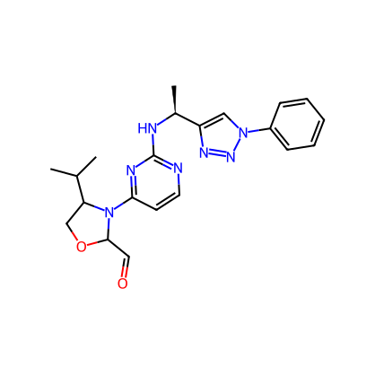 CC(C)C1COC(C=O)N1c1ccnc(N[C@@H](C)c2cn(-c3ccccc3)nn2)n1